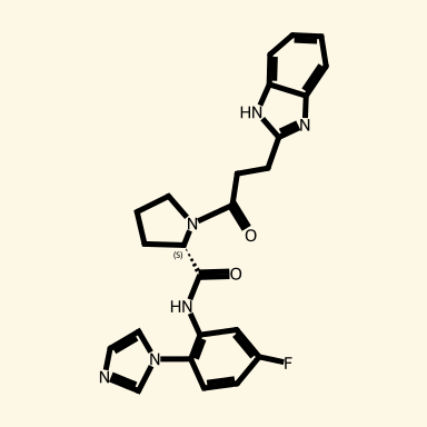 O=C(Nc1cc(F)ccc1-n1ccnc1)[C@@H]1CCCN1C(=O)CCc1nc2ccccc2[nH]1